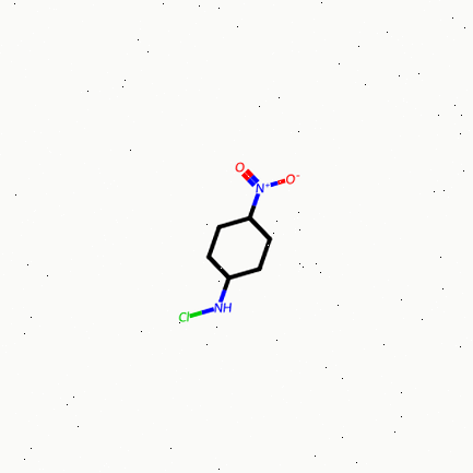 O=[N+]([O-])C1CCC(NCl)CC1